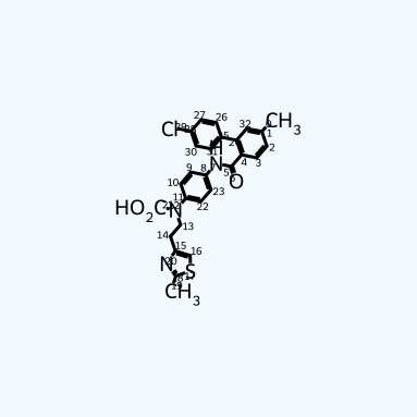 Cc1ccc(C(=O)Nc2ccc(N(CCc3csc(C)n3)C(=O)O)cc2)c(-c2ccc(Cl)cc2)c1